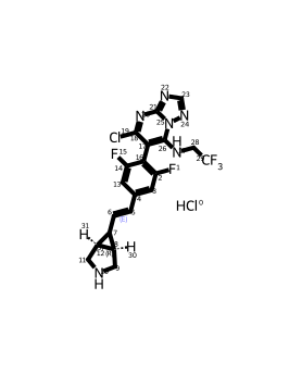 Cl.Fc1cc(/C=C/C2[C@H]3CNC[C@@H]23)cc(F)c1-c1c(Cl)nc2ncnn2c1NCC(F)(F)F